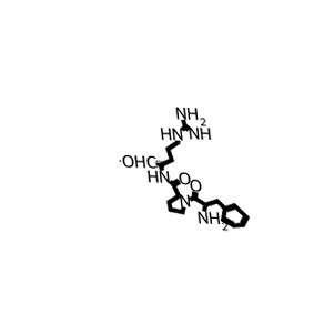 N=C(N)NCCC[C@H]([C]=O)NC(=O)C1CCCN1C(=O)C(N)Cc1ccccc1